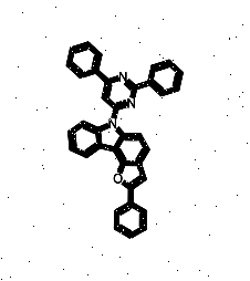 c1ccc(-c2cc(-n3c4ccccc4c4c5oc(-c6ccccc6)cc5ccc43)nc(-c3ccccc3)n2)cc1